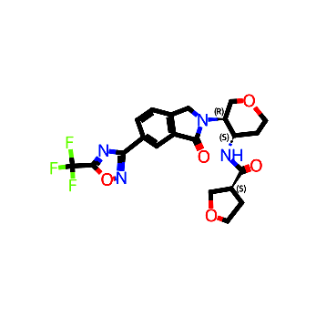 O=C(N[C@H]1CCOC[C@@H]1N1Cc2ccc(-c3noc(C(F)(F)F)n3)cc2C1=O)[C@H]1CCOC1